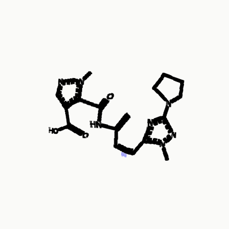 C=C(/C=C\c1nc(N2CCCC2)nn1C)NC(=O)c1c(C(=O)O)cnn1C